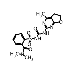 Cc1nc(NC(=O)NS(=O)(=O)c2ccccc2C(=O)N(C)C)nc2c1CCO2